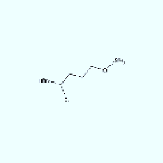 CCCCC(CC)CCCO[SiH3]